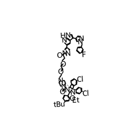 CCOc1cc(C(C)(C)C)ccc1C1=N[C@@]2(c3ccc(Cl)cc3)c3cc(Cl)ccc3[C@]2(C)N1C(=O)N1CCN(CCOCCOCCC(=O)n2cc(-c3cnc4[nH]cc(-c5cnn(Cc6cccc(F)c6)c5)c4c3)cn2)CC1